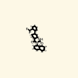 O=c1[nH]c2cc(-c3ccccc3C(F)F)ccc2c(=O)n1-c1cccc2ccccc12